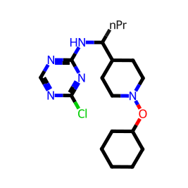 CCCC(Nc1ncnc(Cl)n1)C1CCN(OC2CCCCC2)CC1